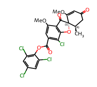 COC1=CC(=O)C[C@@H](C)[C@]12Oc1c(Cl)c(C(=O)Oc3c(Cl)cc(Cl)cc3Cl)cc(OC)c1C2=O